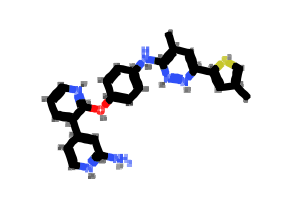 Cc1csc(-c2cc(C)c(Nc3ccc(Oc4ncccc4-c4ccnc(N)c4)cc3)nn2)c1